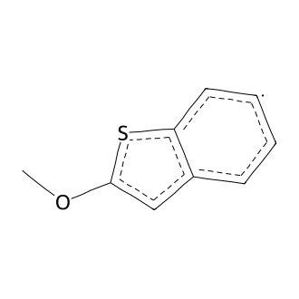 COc1cc2cc[c]cc2s1